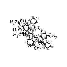 C=C1C2C(CCc3cc(C)c4c(oc5ccccc54)c3-c3n(C)c4c(C)nccc4[n+]31)c1ccccc1-c1cc(CC(C)C)c([Si](C)(C)C)c[n+]12